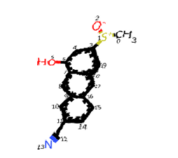 C[S+]([O-])c1cc(O)c2cc3cc(C#N)ccc3cc2c1